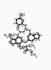 CC[C@@H]1CN(Cc2cc([C@@H](c3ccc4c(nnn4C)c3C)C(C)(C)C(=O)OC)cc3ccsc23)Cc2nc(O)ccc2O1